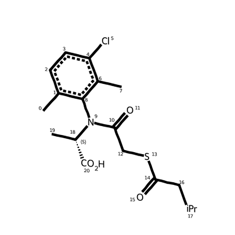 Cc1ccc(Cl)c(C)c1N(C(=O)CSC(=O)CC(C)C)[C@@H](C)C(=O)O